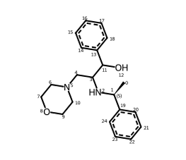 C[C@H](NC(CN1CCOCC1)C(O)c1ccccc1)c1ccccc1